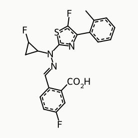 Cc1ccccc1-c1nc(N(/N=C/c2ccc(F)cc2C(=O)O)C2CC2F)sc1F